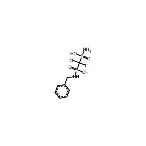 NP(=O)(O)C(Cl)(Cl)P(=O)(O)NCc1ccccc1